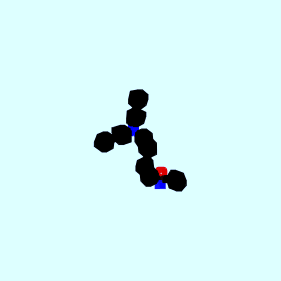 c1ccc(-c2ccc(N(c3ccc(-c4ccccc4)cc3)c3ccc4ccc(-c5ccc6ccc7nc(-c8ccccc8)oc7c6c5)cc4c3)cc2)cc1